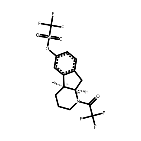 O=C(N1CCC[C@H]2c3cc(OS(=O)(=O)C(F)(F)F)ccc3C[C@H]21)C(F)(F)F